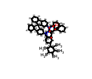 Bc1c(B)c(B)c(-c2ccc(N(c3ccc4c(c3)C3(c5ccccc5-c5ccc(N(c6ccccc6)c6ccccc6)cc53)c3ccccc3-4)c3ccc4oc5ccccc5c4c3)cc2)c(B)c1B